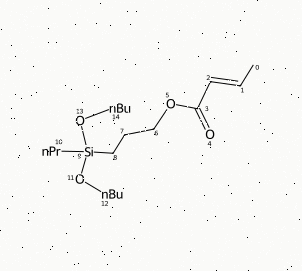 CC=CC(=O)OCCC[Si](CCC)(OCCCC)OCCCC